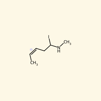 C/C=C\CC(I)NC